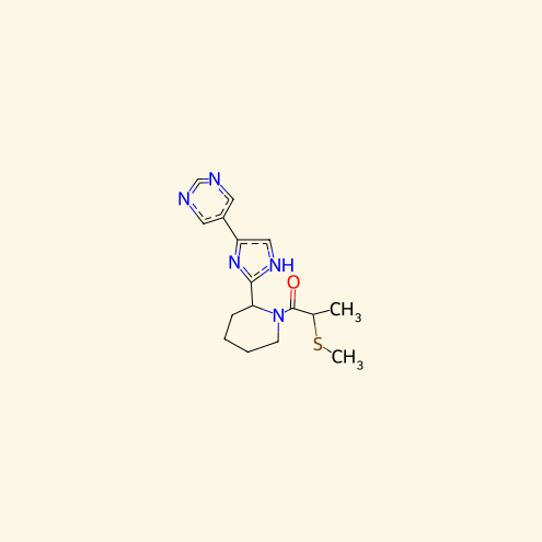 CSC(C)C(=O)N1CCCCC1c1nc(-c2cncnc2)c[nH]1